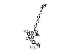 Cc1ncsc1-c1ccc(CNC(=O)[C@@H]2C[C@@H](O)CN2C(=O)[C@@H](NC(=O)CCOCCOCCOCCOCCN=[N+]=[N-])C(C)(C)C)cc1